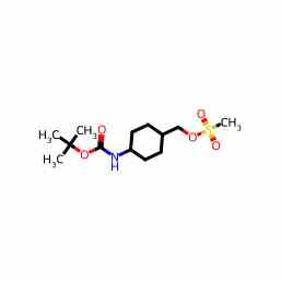 CC(C)(C)OC(=O)NC1CCC(COS(C)(=O)=O)CC1